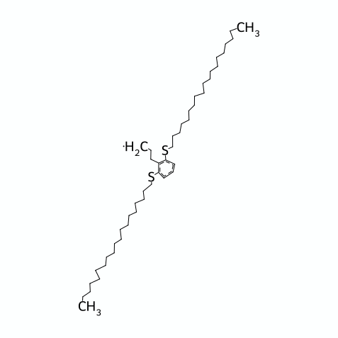 [CH2]CCc1c(SCCCCCCCCCCCCCCCCCCC)cccc1SCCCCCCCCCCCCCCCCCCC